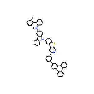 Cc1ccccc1-c1ccccc1Nc1ccc2c(c1)c1ccccc1n2-c1ccc2sc3cnc(-c4cccc(-c5ccc6c7ccccc7c7ccccc7c6c5)c4)cc3c2c1